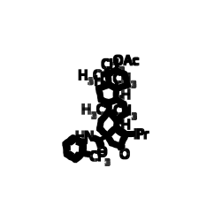 CC(=O)O[C@H]1CC[C@]2(C)[C@H]3CC[C@@H]4C5=C(C(C)C)C(=O)C[C@]5(C(=O)Nc5ccccc5C(F)(F)F)CC[C@@]4(C)[C@]3(C)CC[C@H]2C1(C)C